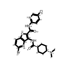 CN(C)[C@H]1CC[C@H](C(=O)Nc2c(C(=O)Nc3ccc(Cl)cn3)oc3ccc(Br)nc23)CC1